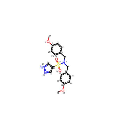 COc1ccc(CN(Cc2ccc(OC)cc2)S(=O)(=O)c2cn[nH]c2)cc1